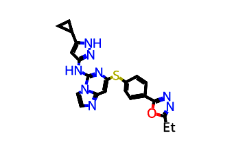 CCc1nnc(-c2ccc(Sc3cc4nccn4c(Nc4cc(C5CC5)[nH]n4)n3)cc2)o1